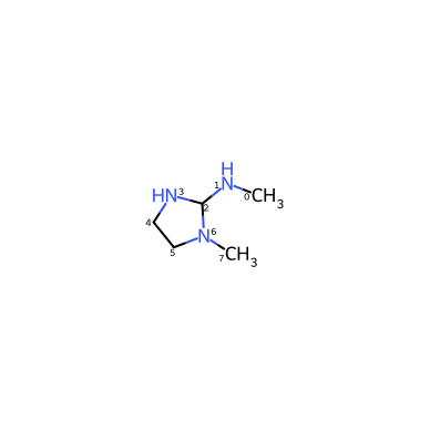 CNC1NCCN1C